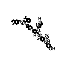 CC(C)c1ccccc1C1CN(Cc2ccc3sccc3c2)CCN1C1CC2(CCN(c3ccc(C(=O)NS(=O)(=O)c4ccc(NCC5CCC(C)(O)CC5)c([N+](=O)[O-])c4)c(Oc4cnc5[nH]ccc5c4)c3)CC2)C1